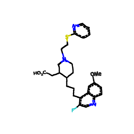 COc1ccc2ncc(F)c(CCCC3CCN(CCSc4ccccn4)CC3CC(=O)O)c2c1